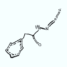 [N-]=[N+]=NNC(=O)Cc1ccccc1